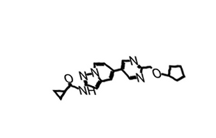 O=C(Nc1cc2cc(-c3cnc(COC4CCCC4)nc3)ccn2n1)C1CC1